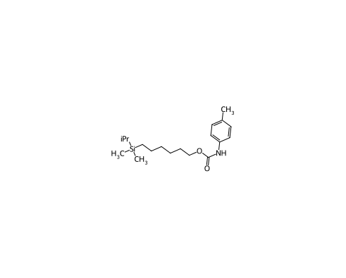 Cc1ccc(NC(=O)OCCCCCC[Si](C)(C)C(C)C)cc1